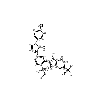 CCS(=O)(=O)c1ccc(-n2ncn(-c3ccc(Cl)cc3)c2=O)nc1-c1nc2cc(C(F)(F)F)cnc2n1C